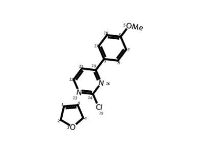 C1=CCOC1.COc1ccc(-c2ccnc(Cl)n2)cc1